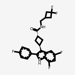 O=C(NCC1CC(F)(F)C1)[C@H]1C[C@H](c2c(-c3ccc(F)cc3)[nH]c3c(F)cc(F)cc32)C1